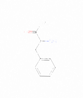 CC(=O)OC(=O)C(N)Cc1ccccc1